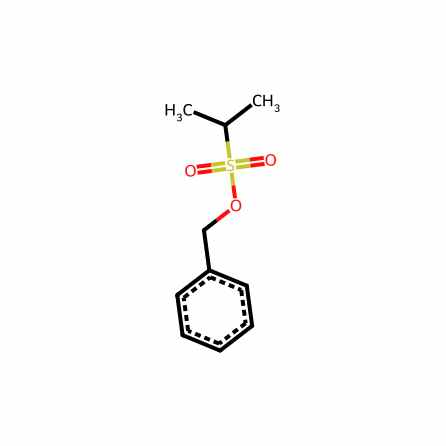 CC(C)S(=O)(=O)OCc1ccccc1